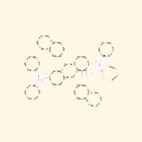 CC1(N(c2ccccc2)c2ccc3c(-c4ccc5ccccc5c4)c4cc(N(c5ccccc5)c5ccccc5)ccc4c(-c4ccc5ccccc5c4)c3c2)C=CC=CC1